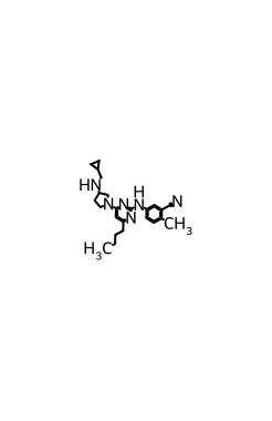 CCCCc1cc(N2CCC(NCC3CC3)C2)nc(Nc2ccc(C)c(C#N)c2)n1